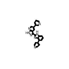 c1cncc(-c2cnc3[nH]nc(-c4nc5c(-c6ccncc6)cccc5[nH]4)c3c2)c1